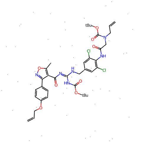 C=CCOc1ccc(-c2noc(C)c2C(=O)/N=C(/NCc2cc(Cl)c(NC(=O)CN(CC=C)C(=O)OC(C)(C)C)c(Cl)c2)NC(=O)OC(C)(C)C)cc1